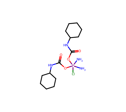 NP(N)(Cl)(OC(=O)NC1CCCCC1)OC(=O)NC1CCCCC1